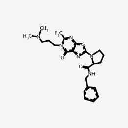 CN(C)CCCn1c(C(F)(F)F)nc2sc(N3CCCC3C(=O)NCc3ccccc3)nc2c1=O